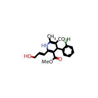 COC(=O)C1=C(C=CCO)NC(C)=C(C(=O)O)C1c1ccccc1Cl